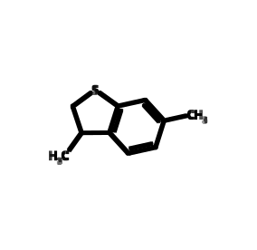 Cc1ccc2c(c1)SCC2C